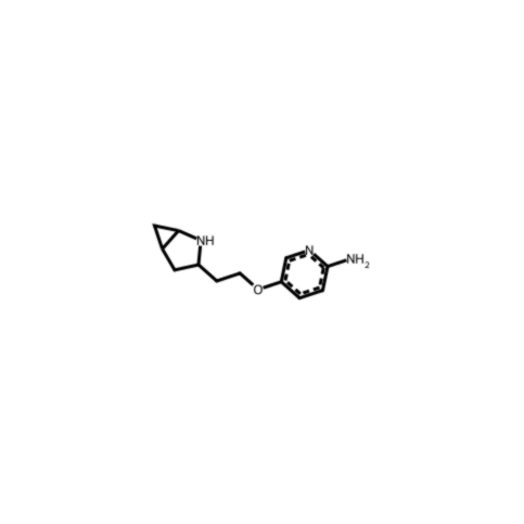 Nc1ccc(OCCC2CC3CC3N2)cn1